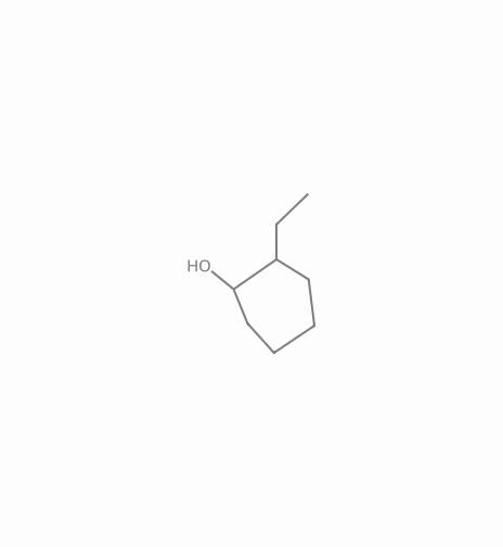 CCC1CCCCC1O